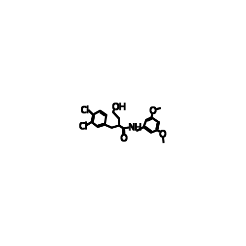 COc1cc(CNC(=O)C(CCO)Cc2ccc(Cl)c(Cl)c2)cc(OC)c1